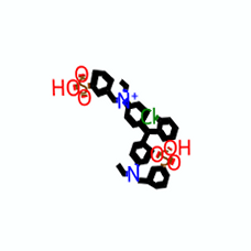 CCN(Cc1cccc(S(=O)(=O)O)c1)c1ccc(C(=C2C=CC(=[N+](CC)Cc3cccc(S(=O)(=O)O)c3)C=C2)c2ccccc2Cl)cc1